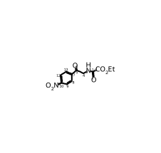 CCOC(=O)C(=O)NCC(=O)c1ccc([N+](=O)[O-])cc1